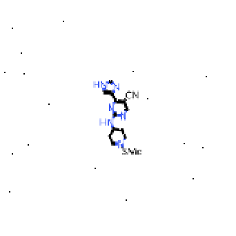 CSN1CCC(Nc2ncc(C#N)c(-c3c[nH]cn3)n2)CC1